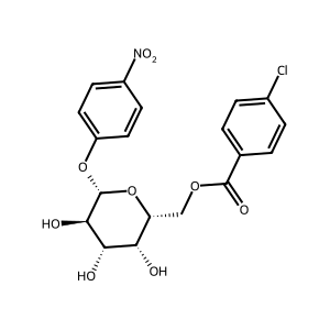 O=C(OC[C@H]1O[C@@H](Oc2ccc([N+](=O)[O-])cc2)[C@H](O)[C@@H](O)[C@H]1O)c1ccc(Cl)cc1